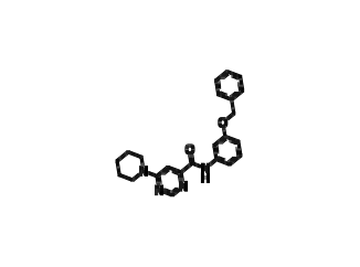 O=C(Nc1cccc(OCc2ccccc2)c1)c1cc(N2CCCCC2)ncn1